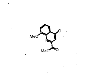 COC(=O)c1cc(Cl)c2cccc(OC)c2n1